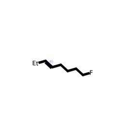 [CH2]C/C=C/CCCCF